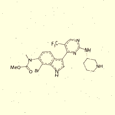 COC(=O)N(C)c1ccc2c(-c3nc(N[C@H]4CCCNC4)ncc3C(F)(F)F)c[nH]c2c1Br